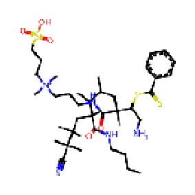 CCCCNC(=O)C(C)(CC(C)(C)C(C)(C)C#N)C(C)C(C)CC(C)(C(=O)NCCC[N+](C)(C)CCCS(=O)(=O)O)C(CN)SC(=S)c1ccccc1